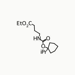 CCOC(=O)CCCNC(=O)OC1(C(C)C)CCCCC1